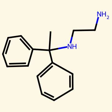 CC(NCCN)(c1ccccc1)c1ccccc1